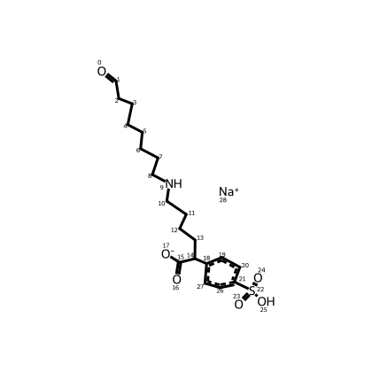 O=CCCCCCCCNCCCCC(C(=O)[O-])c1ccc(S(=O)(=O)O)cc1.[Na+]